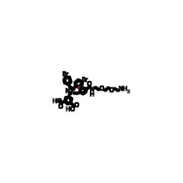 NCCOCCOCCNC(=O)c1ccc(Cn2c(-c3cc(C(=O)O)cc(C(=O)O)c3)nc(-c3ccc(Br)cc3)c2-c2ccc(Br)cc2)cc1